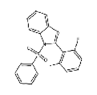 O=S(=O)(c1ccccc1)n1c(-c2c(F)cccc2F)nc2ccccc21